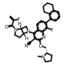 C=C(F)C(=O)N1CC[C@@H]2[C@H]1CN2c1c(C#N)c(OC[C@@H]2CCCN2C)nc2c(F)c(-c3cccc4c3CCCC4)ccc12